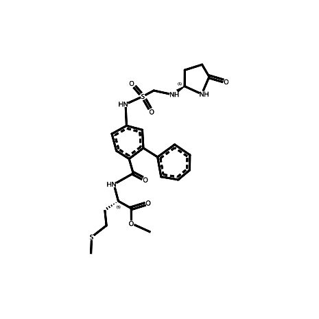 COC(=O)[C@H](CCSC)NC(=O)c1ccc(NS(=O)(=O)CN[C@H]2CCC(=O)N2)cc1-c1ccccc1